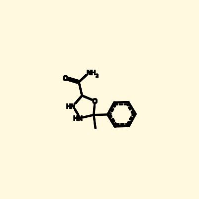 CC1(c2ccccc2)NNC(C(N)=O)O1